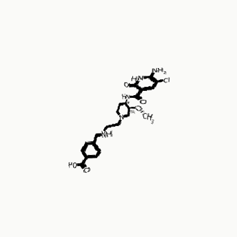 CO[C@H]1CN(CCNCc2ccc(C(=O)O)cc2)CC[C@H]1NC(=O)c1cc(Cl)c(N)[nH]c1=O